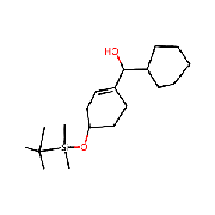 CC(C)(C)[Si](C)(C)OC1CC=C(C(O)C2CCCCC2)CC1